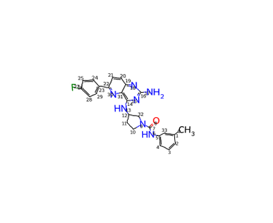 Cc1cccc(NC(=O)N2CCC(Nc3nc(N)nc4ccc(-c5ccc(F)cc5)nc34)C2)c1